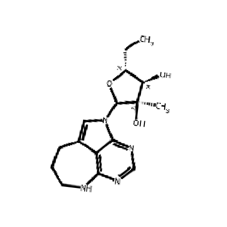 CC[C@H]1OC(n2cc3c4c(ncnc42)NCCC3)[C@](C)(O)[C@@H]1O